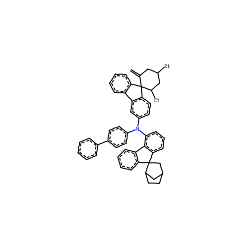 C=C1CC(CC)CC(CC)C12c1ccccc1-c1cc(N(c3ccc(-c4ccccc4)cc3)c3cccc4c3-c3ccccc3C43CC4CCC3C4)ccc12